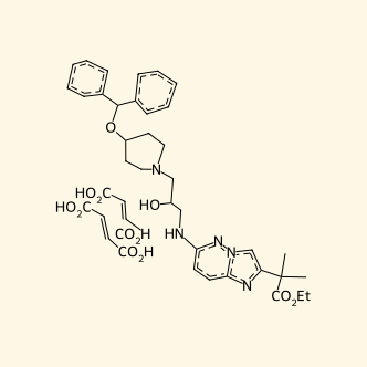 CCOC(=O)C(C)(C)c1cn2nc(NCC(O)CN3CCC(OC(c4ccccc4)c4ccccc4)CC3)ccc2n1.O=C(O)C=CC(=O)O.O=C(O)C=CC(=O)O